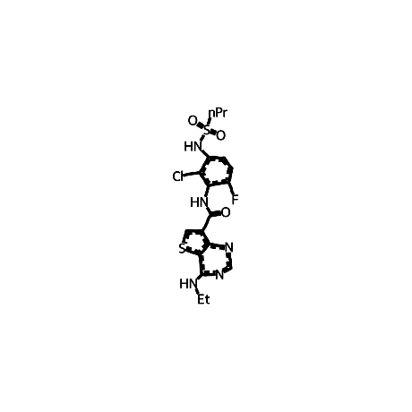 CCCS(=O)(=O)Nc1ccc(F)c(NC(=O)c2csc3c(NCC)ncnc23)c1Cl